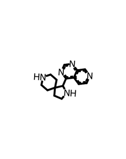 c1cc2c(C3NCCC34CCNCC4)ncnc2cn1